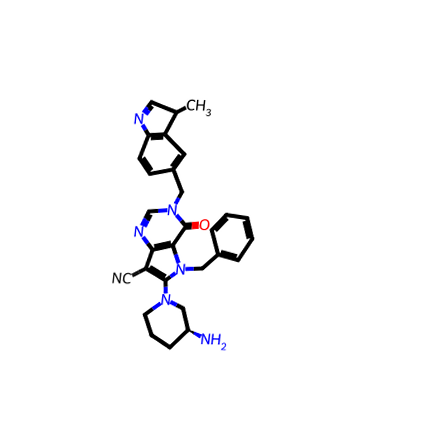 CC1C=Nc2ccc(Cn3cnc4c(C#N)c(N5CCC[C@H](N)C5)n(Cc5ccccc5)c4c3=O)cc21